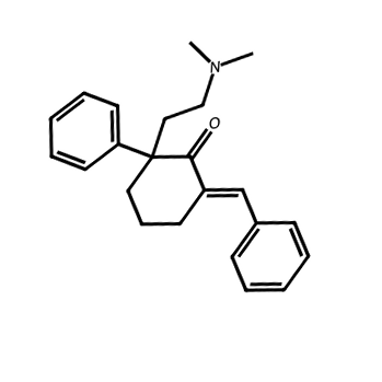 CN(C)CCC1(c2ccccc2)CCCC(=Cc2ccccc2)C1=O